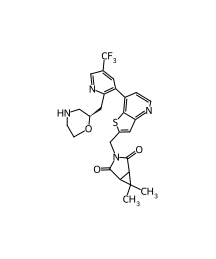 CC1(C)C2C(=O)N(Cc3cc4nccc(-c5cc(C(F)(F)F)cnc5C[C@@H]5CNCCO5)c4s3)C(=O)C21